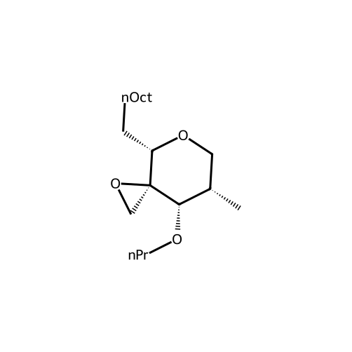 CCCCCCCCC[C@@H]1OC[C@H](C)[C@H](OCCC)[C@]12CO2